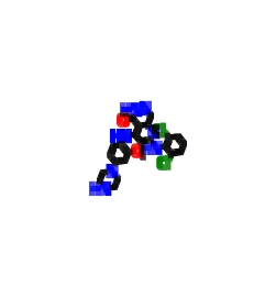 COc1cc(N2CCNCC2)ccc1Nc1cc(Nc2c(Cl)cccc2Cl)nc2cn[nH]c(=O)c12